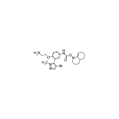 Cn1ncc(Br)c1-c1cc(NC(=O)ON2CCCC3CCCC=C32)ccc1OCCN